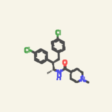 C[C@@H](NC(=O)C1CCN(C)CC1)[C@H](Cc1ccc(Cl)cc1)c1ccc(Cl)cc1